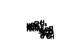 Cc1cc(-c2sc3c(c2C)C(=O)N(C(CO)c2cccc(Cl)c2)C32COC2)nc(Nc2ccnn2C)n1